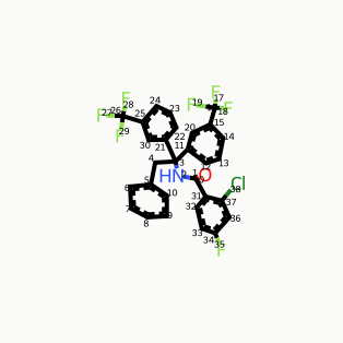 O=C(NC(Cc1ccccc1)(c1cccc(C(F)(F)F)c1)c1cccc(C(F)(F)F)c1)c1ccc(F)cc1Cl